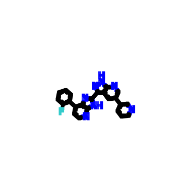 Fc1ccccc1-c1ccnc2[nH]c(-c3n[nH]c4ncc(-c5cccnc5)cc34)nc12